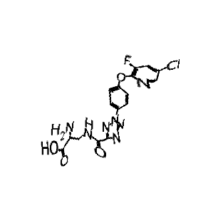 NC(CNC(=O)c1nnn(-c2ccc(Oc3ncc(Cl)cc3F)cc2)n1)C(=O)O